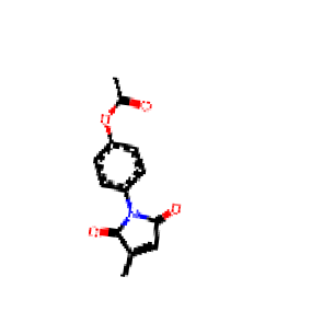 CC(=O)Oc1ccc(N2C(=O)C=C(C)C2=O)cc1